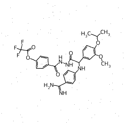 COc1cc(C(Nc2ccc(C(=N)N)cc2)C(=O)NNC(=O)c2ccc(OC(=O)C(F)(F)F)cc2)ccc1OC(C)C